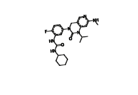 CNc1cc2c(cn1)CN(c1ccc(F)c(NC(=O)NC3CCCCC3)c1)C(=O)N2C(C)C